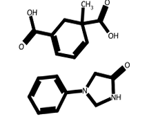 CC1(C(=O)O)C=CC=C(C(=O)O)C1.O=C1CN(c2ccccc2)CN1